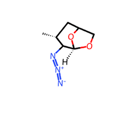 C[C@@H]1CC2CO[C@H](O2)C1N=[N+]=[N-]